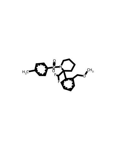 COCc1ccccc1C1(C(F)F)CCCCN1S(=O)(=O)c1ccc(C)cc1